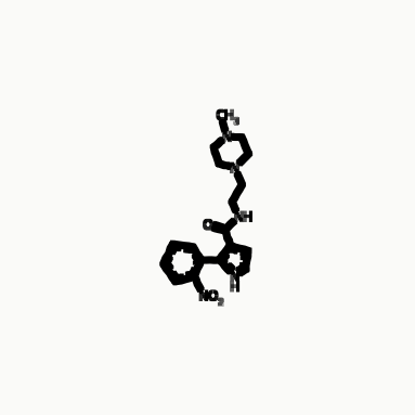 CN1CCN(CCNC(=O)c2cc[nH]c2-c2ccccc2[N+](=O)[O-])CC1